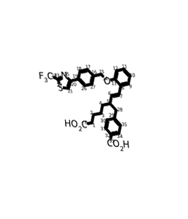 O=C(O)CCCCC(/C=C/c1ccccc1OCc1ccc(-c2csc(C(F)(F)F)n2)cc1)Cc1ccc(C(=O)O)cc1